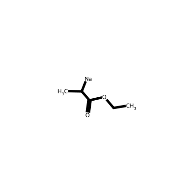 CCOC(=O)[CH](C)[Na]